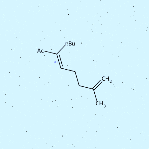 C=C(C)CC/C=C(\CCCC)C(C)=O